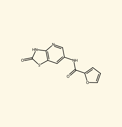 O=C(Nc1cnc2[nH]c(=O)sc2c1)c1ccco1